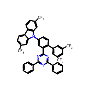 FC(F)(F)c1cc(-c2ccc(-n3c4cc(C(F)(F)F)ccc4c4ccc(C(F)(F)F)cc43)cc2-c2nc(-c3ccccc3)nc(-c3ccccc3)n2)cc(C(F)(F)F)c1